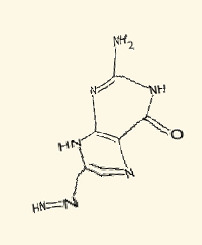 N=Nc1nc2c(=O)[nH]c(N)nc2[nH]1